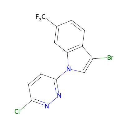 FC(F)(F)c1ccc2c(Br)cn(-c3ccc(Cl)nn3)c2c1